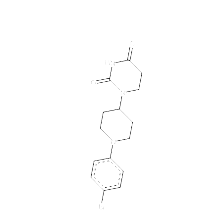 O=C1CCN(C2CCN(c3ccc(Br)cc3)CC2)C(=O)N1